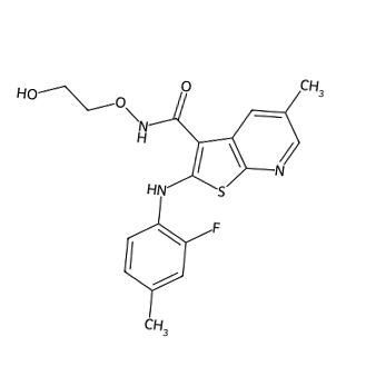 Cc1ccc(Nc2sc3ncc(C)cc3c2C(=O)NOCCO)c(F)c1